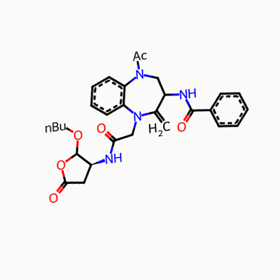 C=C1C(NC(=O)c2ccccc2)CN(C(C)=O)c2ccccc2N1CC(=O)N[C@H]1CC(=O)OC1OCCCC